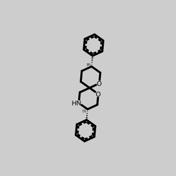 c1ccc([C@H]2CCC3(CN[C@@H](c4ccccc4)CO3)OC2)cc1